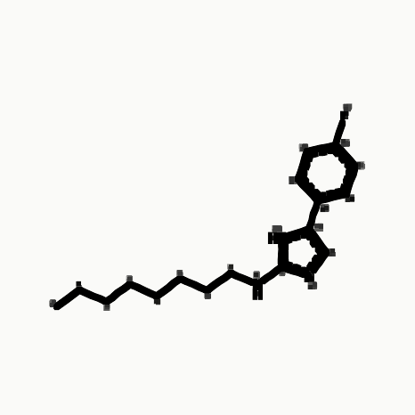 CCCCCCCCNc1ncc(-c2ccc(F)cc2)[nH]1